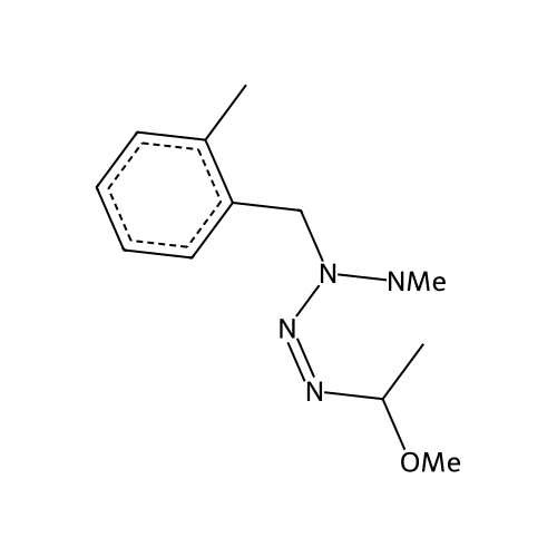 CNN(Cc1ccccc1C)/N=N\C(C)OC